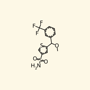 COC(c1cccc(C(F)(F)F)c1)c1cc(S(N)(=O)=O)cs1